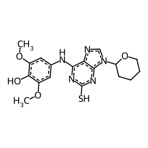 COc1cc(Nc2nc(S)nc3c2ncn3C2CCCCO2)cc(OC)c1O